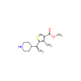 C=C(c1scc(C(=O)OC)c1C)C1CCNCC1